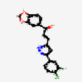 O=C(/C=C/c1cc(-c2ccc(Cl)c(Cl)c2)n[nH]1)c1ccc2c(c1)OCO2